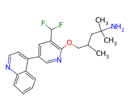 CC(COc1ncc(-c2ccnc3ccccc23)cc1C(F)F)CC(C)(C)N